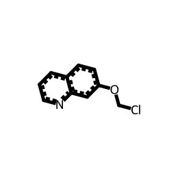 ClCOc1ccc2cccnc2c1